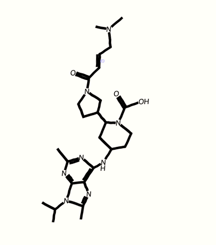 Cc1nc(NC2CCN(C(=O)O)C(C3CCN(C(=O)/C=C/CN(C)C)C3)C2)c2nc(C)n(C(C)C)c2n1